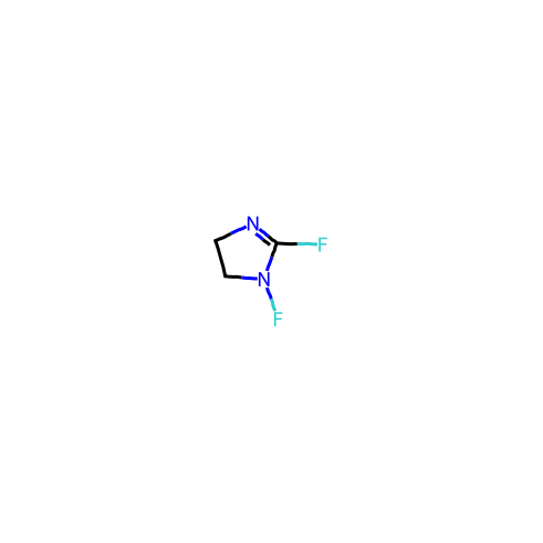 FC1=NCCN1F